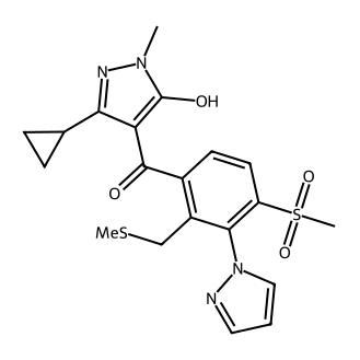 CSCc1c(C(=O)c2c(C3CC3)nn(C)c2O)ccc(S(C)(=O)=O)c1-n1cccn1